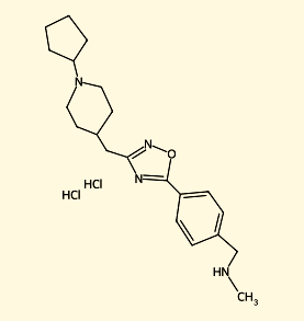 CNCc1ccc(-c2nc(CC3CCN(C4CCCC4)CC3)no2)cc1.Cl.Cl